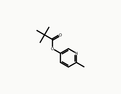 Cc1ccc(OC(=O)C(C)(C)C)cn1